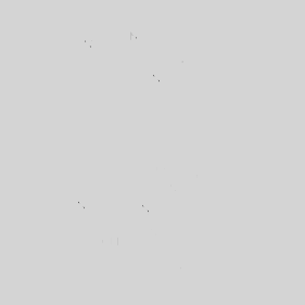 CCC1(Nc2ncnc3ccc(-c4cnc(C)c(N(S(C)(=O)=O)S(C)(=O)=O)c4)cc23)C=CC=CC1